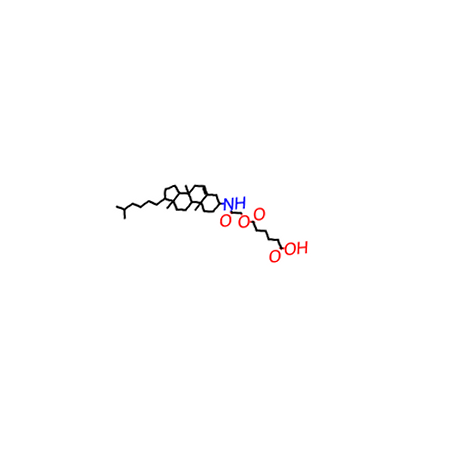 CC(C)CCCCC1CCC2C1(C)CCC1C3(C)CCC(NC(=O)COC(=O)CCCCC(=O)O)CC3=CCC12C